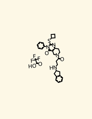 O=C(CCNC1Cc2ccccc2C1)N1CCc2nc(SC3CCC3)n(-c3ccccc3)c(=O)c2C1.O=C(O)C(F)(F)F